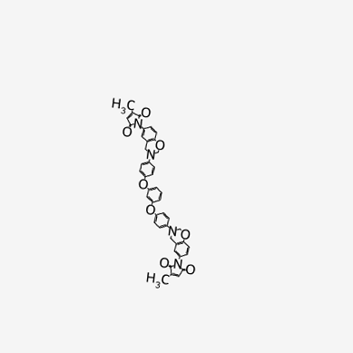 CC1=CC(=O)N(c2ccc3c(c2)CN(c2ccc(Oc4cccc(Oc5ccc(N6COc7ccc(N8C(=O)C=C(C)C8=O)cc7C6)cc5)c4)cc2)CO3)C1=O